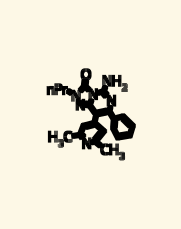 CCCn1nc2c(-c3cc(C)nc(C)c3)c(-c3ccccc3)nc(N)n2c1=O